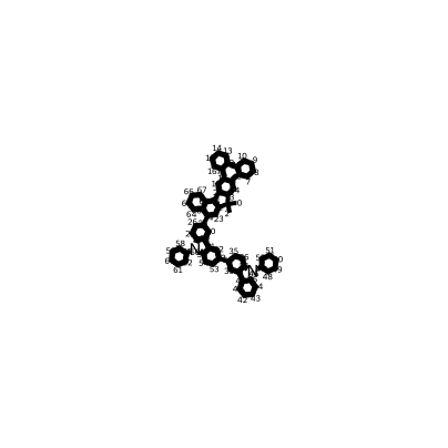 CC1(C)c2cc3c4ccccc4c4ccccc4c3cc2-c2c1cc(-c1ccc3c(c1)c1cc(-c4ccc5c(c4)c4ccccc4n5-c4ccccc4)ccc1n3-c1ccccc1)c1ccccc21